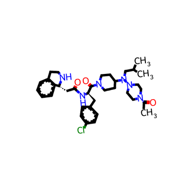 CC(=O)N1CCN(N(CC(C)C)C2CCN(C(=O)[C@@H](Cc3ccc(Cl)cc3)NC(=O)C[C@H]3NCCc4ccccc43)CC2)CC1